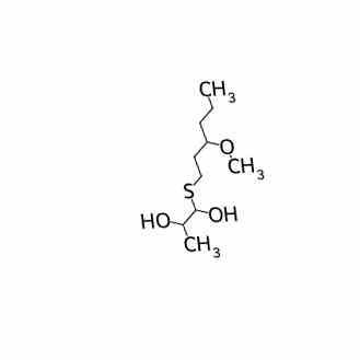 CCCC(CCSC(O)C(C)O)OC